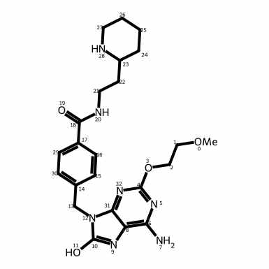 COCCOc1nc(N)c2nc(O)n(Cc3ccc(C(=O)NCCC4CCCCN4)cc3)c2n1